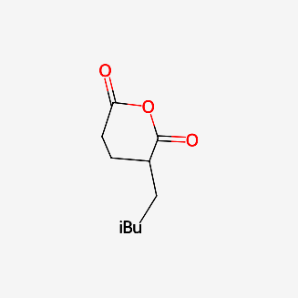 CCC(C)CC1CCC(=O)OC1=O